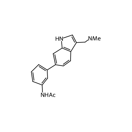 CNCc1c[nH]c2cc(-c3cccc(NC(C)=O)c3)ccc12